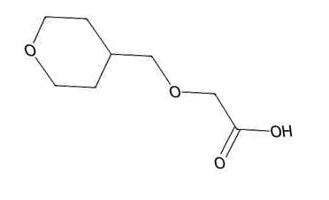 O=C(O)COCC1CCOCC1